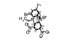 CCN(c1c(Br)cc(F)cc1Br)c1c([N+](=O)[O-])cc([N+](=O)[O-])cc1[N+](=O)[O-]